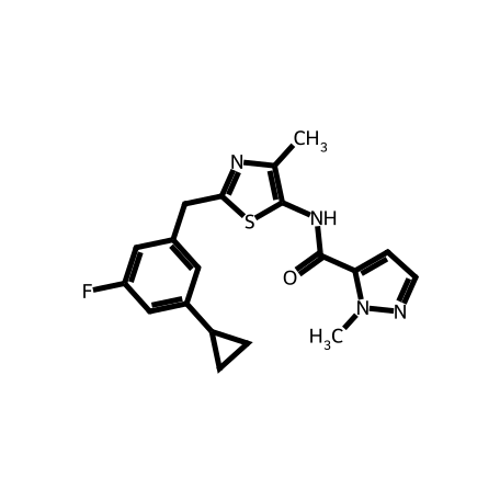 Cc1nc(Cc2cc(F)cc(C3CC3)c2)sc1NC(=O)c1ccnn1C